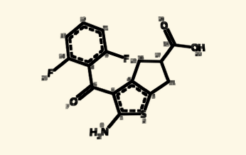 Nc1sc2c(c1C(=O)c1c(F)cccc1F)CC(C(=O)O)C2